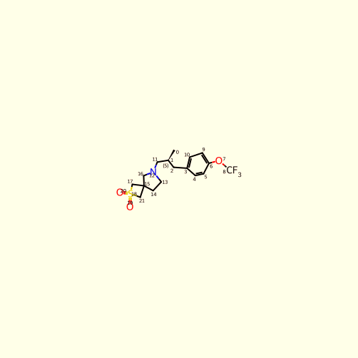 C[C@@H](Cc1ccc(OC(F)(F)F)cc1)CN1CCC2(C1)CS(=O)(=O)C2